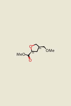 COC[C@@H]1CO[C@H](C(=O)OC)C1